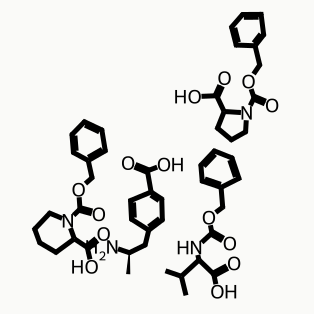 CC(C)C(NC(=O)OCc1ccccc1)C(=O)O.C[C@@H](N)Cc1ccc(C(=O)O)cc1.O=C(O)C1CCCCN1C(=O)OCc1ccccc1.O=C(O)C1CCCN1C(=O)OCc1ccccc1